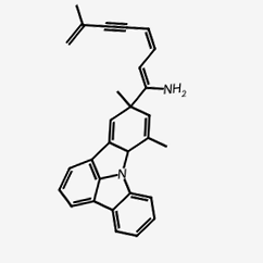 C=C(C)C#C/C=C\C=C(/N)C1(C)C=C(C)C2C(=C1)c1cccc3c4ccccc4n2c13